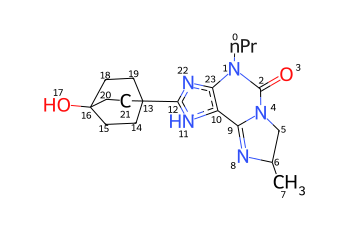 CCCN1C(=O)N2CC(C)N=C2c2[nH]c(C34CCC(O)(CC3)CC4)nc21